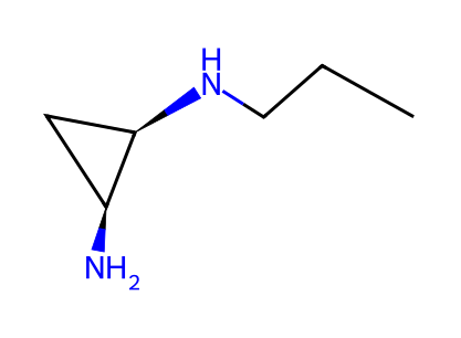 CCCN[C@@H]1C[C@@H]1N